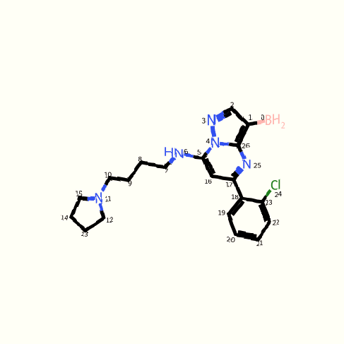 Bc1cnn2c(NCCCCN3CCCC3)cc(-c3ccccc3Cl)nc12